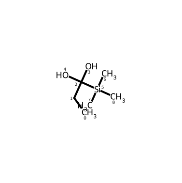 CCC(O)(O)[Si](C)(C)C